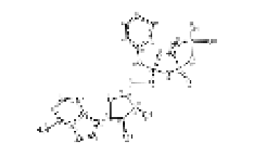 Nc1ncnc2c1ncn2[C@@H]1O[C@H](COP(=O)(Oc2ccccc2)OP(=O)(O)OP(=O)(O)O)[C@@H](O)[C@H]1O